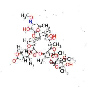 CON=C1C[C@@H](C)O[C@@H](O[C@@H]2[C@@H](C)[C@H](O[C@H]3C[C@@]4(C)OC(=O)C[C@H]4[C@H](C)O3)[C@@H](C)C(=O)O[C@H]([C@@H](C)CO[C@@H]3O[C@H](C)[C@@H](O)[C@@H](OC)[C@H]3OC)[C@H](C)[C@@H](OC(=O)CC(C)C)[C@@H](C)C(=O)[C@@](C)(O)C[C@@H]2C)[C@@H]1O